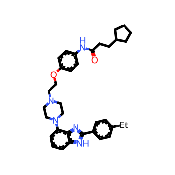 CCc1ccc(-c2nc3c(N4CCN(CCOc5ccc(NC(=O)CCC6CCCC6)cc5)CC4)cccc3[nH]2)cc1